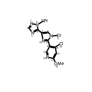 [CH2][CH]n1cc(-c2ncnn2C(C)C)nc1-c1cnc(OC)cc1Cl